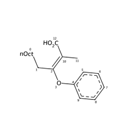 CCCCCCCCCC(Oc1ccccc1)=C(C)C(=O)O